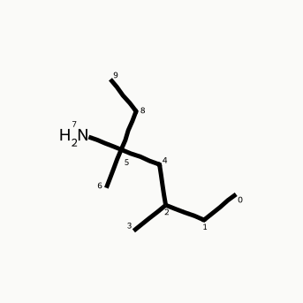 CCC(C)CC(C)(N)CC